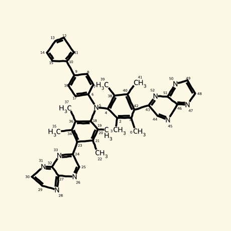 Cc1c(C)c(N(c2ccc(-c3ccccc3)cc2)c2c(C)c(C)c(-c3cnc4nccnc4n3)c(C)c2C)c(C)c(C)c1-c1cnc2nccnc2n1